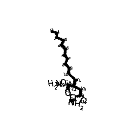 CCCCCCCCCCCCC(CC(=O)ON)C(=O)ON